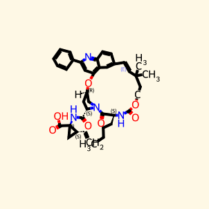 C=C[C@@H]1C[C@]1(NC(=O)[C@@H]1C[C@@H]2CN1C(=O)[C@H](CCCC)NC(=O)OCCC(C)(C)/C=C/c1ccc3nc(-c4ccccc4)cc(c3c1)O2)C(=O)O